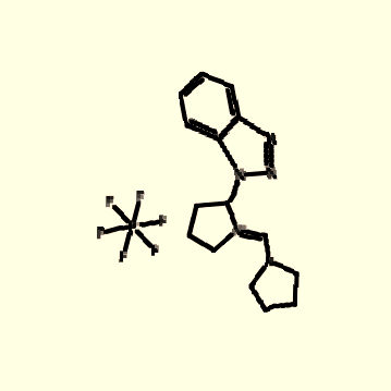 C(N1CCCC1)=[N+]1CCCC1n1nnc2ccccc21.F[P-](F)(F)(F)(F)F